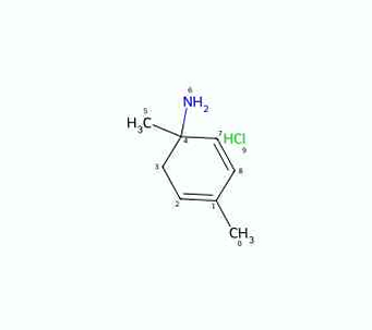 CC1=CCC(C)(N)C=C1.Cl